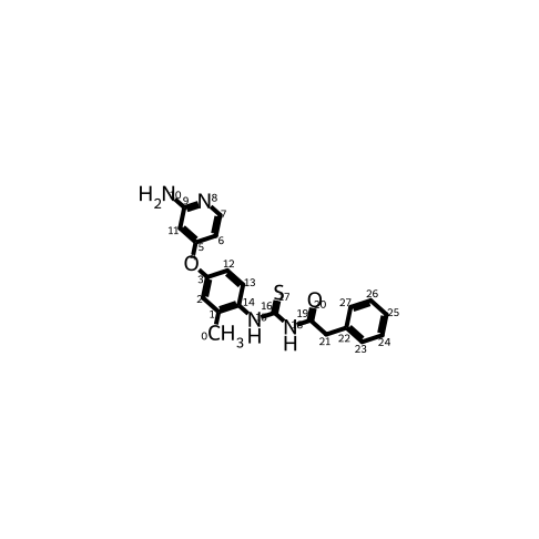 Cc1cc(Oc2ccnc(N)c2)ccc1NC(=S)NC(=O)Cc1ccccc1